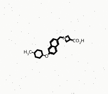 C[C@H]1CC[C@@H](Oc2ccc3cc(CN4CC(C(=O)O)C4)ccc3c2)CC1